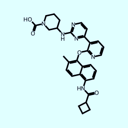 Cc1ccc2c(NC(=O)C3CCC3)cccc2c1Oc1ncccc1-c1ccnc(NC2CCCN(C(=O)O)C2)n1